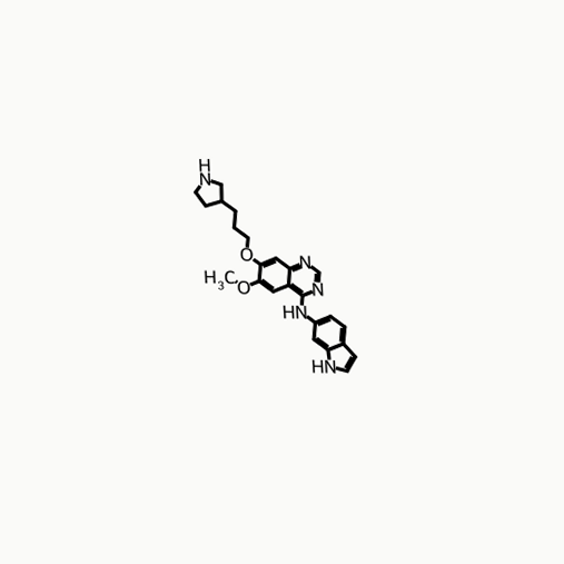 COc1cc2c(Nc3ccc4cc[nH]c4c3)ncnc2cc1OCCCC1CCNC1